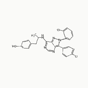 CC(Cc1ccc(O)cc1)Nc1ncnc2c(-c3ccc(Cl)cc3)n(-c3ccccc3Cl)nc12